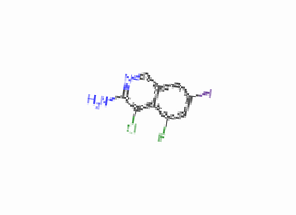 Nc1ncc2cc(I)cc(F)c2c1Cl